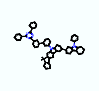 CC1(C)c2ccccc2-c2cc3c4cc(-c5ccc6c7ccccc7n(-c7ccccc7)c6c5)ccc4n(-c4cccc(-c5cccc(-c6nc(-c7ccccc7)nc(-c7ccccc7)n6)c5)c4)c3cc21